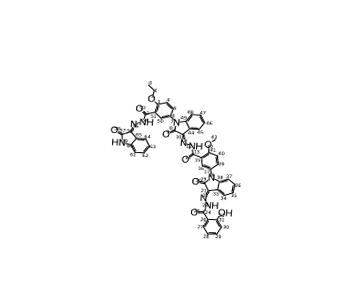 CCOc1ccc(N2C(=O)/C(=N/NC(=O)c3cc(N4C(=O)/C(=N/NC(=O)c5ccccc5O)c5ccccc54)ccc3OC)c3ccccc32)cc1C(=O)N/N=C1/C(=O)Nc2ccccc21